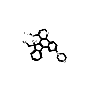 CCC1(O)c2ccccc2-c2c1c1c(c3ccc(N4CCOCC4)cc23)OCC=C1OC